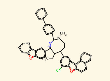 CCC1/C(c2ccc3oc4ccccc4c3c2)=N\C(c2ccc(-c3ccccc3)cc2)[C@H](C)CCC1c1cc(Cl)c2oc3ccc4ccccc4c3c2c1